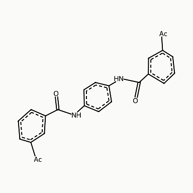 CC(=O)c1cccc(C(=O)Nc2ccc(NC(=O)c3cccc(C(C)=O)c3)cc2)c1